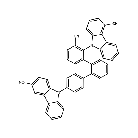 N#Cc1ccc2c(c1)c1ccccc1n2-c1ccc(-c2ccccc2-c2cccc(C#N)c2-n2c3ccccc3c3c(C#N)cccc32)cc1